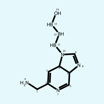 NCC1=CC2C(C=N1)N=CN2BBBO